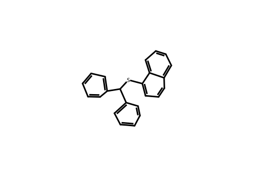 c1ccc(C(Sc2cccc3ccccc23)c2ccccc2)cc1